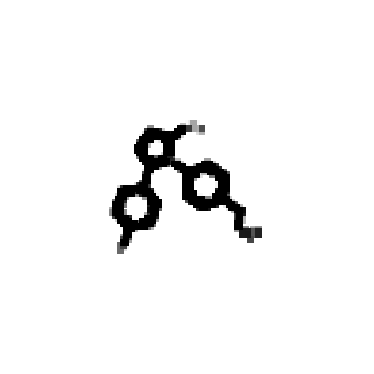 Cc1ccc(-c2ccc(F)cc2)n1-c1ccc(CC(=O)O)cc1